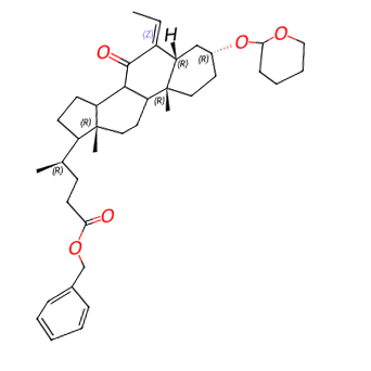 C/C=C1\C(=O)C2C3CCC([C@H](C)CCC(=O)OCc4ccccc4)[C@@]3(C)CCC2[C@@]2(C)CC[C@@H](OC3CCCCO3)C[C@@H]12